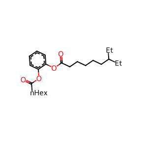 CCCCCCC(=O)Oc1ccccc1OC(=O)CCCCCC(CC)CC